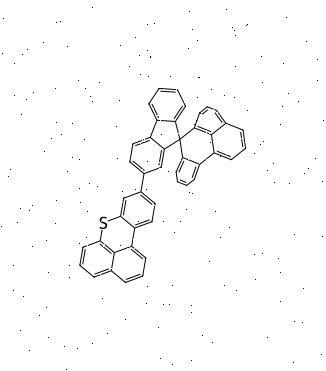 c1ccc2c(c1)-c1ccc(-c3ccc4c(c3)Sc3cccc5cccc-4c35)cc1C21c2ccccc2-c2cccc3cccc1c23